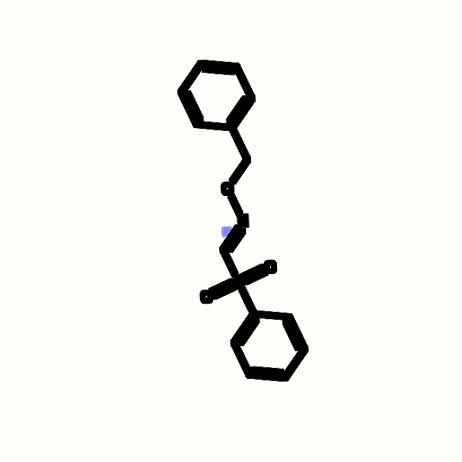 O=S(=O)(/C=N/OCc1ccccc1)c1ccccc1